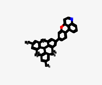 Cc1cc(C)c(B(c2c(C)cc(C)cc2C)c2c(C)cc(-c3ccc4c(c3)Oc3ccnc5cccc-4c35)cc2C)c(C)c1